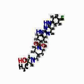 CC1(O)CN(CC2CCN(S(=O)(=O)c3ccc(Nc4nccc(Nc5ccc(F)cc5)n4)cc3)CC2)C1